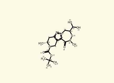 C[C@@H]1Cc2nn3c(c2CN1C(=O)OC(C)(C)C)C(=O)N(C)OC(C(O)O)C3